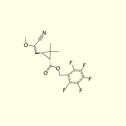 CO/C(C#N)=C/[C@@H]1[C@@H](C(=O)OCc2c(F)c(F)c(F)c(F)c2F)C1(C)C